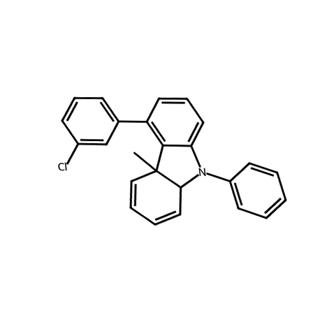 CC12C=CC=CC1N(c1ccccc1)c1cccc(-c3cccc(Cl)c3)c12